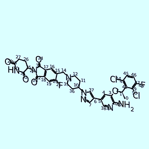 C[C@@H](Oc1cc(-c2cnn(C3CCN(Cc4cc5c(cc4F)C(=O)N(C4CCC(=O)NC4=O)C5=O)CC3)c2)cnc1N)c1c(Cl)ccc(F)c1Cl